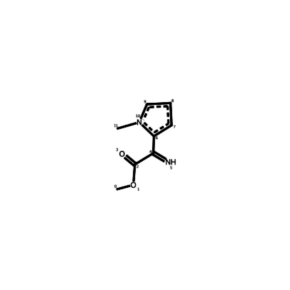 COC(=O)C(=N)c1cccn1C